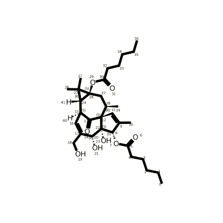 CCCCCC(=O)O[C@H]1C(C)=C[C@]23C(=O)[C@@H](C=C(CO)[C@@H](O)[C@]12O)[C@@H]1C(C)(C)[C@]1(OC(=O)CCCCC)C[C@H]3C